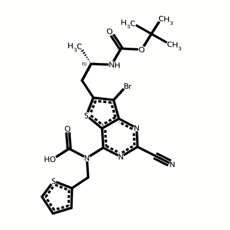 C[C@@H](Cc1sc2c(N(Cc3cccs3)C(=O)O)nc(C#N)nc2c1Br)NC(=O)OC(C)(C)C